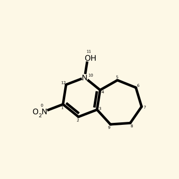 O=[N+]([O-])C1=CC2=C(CCCCC2)N(O)C1